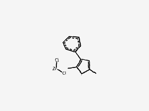 CC1=CC(c2ccccc2)=C(C)[CH]1.[Cl][Zr][Cl]